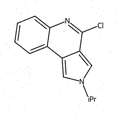 CC(C)n1cc2c(Cl)nc3ccccc3c2c1